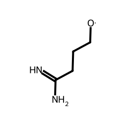 N=C(N)CCC[O]